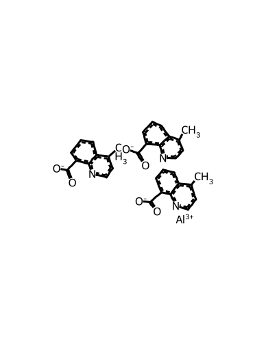 Cc1ccnc2c(C(=O)[O-])cccc12.Cc1ccnc2c(C(=O)[O-])cccc12.Cc1ccnc2c(C(=O)[O-])cccc12.[Al+3]